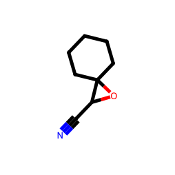 N#CC1OC12CCCCC2